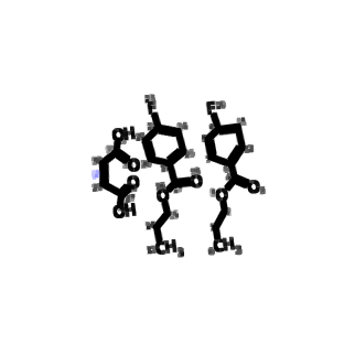 CCCOC(=O)c1ccc(F)cc1.CCCOC(=O)c1ccc(F)cc1.O=C(O)/C=C\C(=O)O